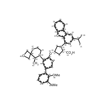 CNc1nccc(-c2cnc(O[C@H]3C[C@@H](C(=O)O)N(c4nc(C(F)F)nc5c4oc4ccccc45)C3)c(N3CCOC4(COC4)[C@@H]3C)c2)c1OC